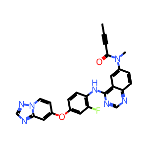 CC#CC(=O)N(C)c1ccc2ncnc(Nc3ccc(Oc4ccn5ncnc5c4)cc3F)c2c1